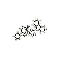 O=C(OCC1c2ccccc2-c2ccccc21)N1S(=O)OCC[C@@]1(Cc1ccccc1)C(=O)O